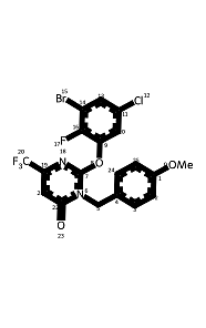 COc1ccc(Cn2c(Oc3cc(Cl)cc(Br)c3F)nc(C(F)(F)F)cc2=O)cc1